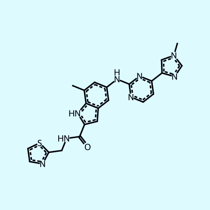 Cc1cc(Nc2nccc(-c3cn(C)cn3)n2)cc2cc(C(=O)NCc3nccs3)[nH]c12